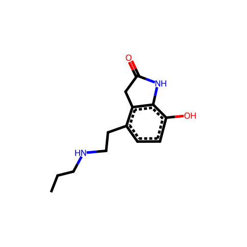 CCCNCCc1ccc(O)c2c1CC(=O)N2